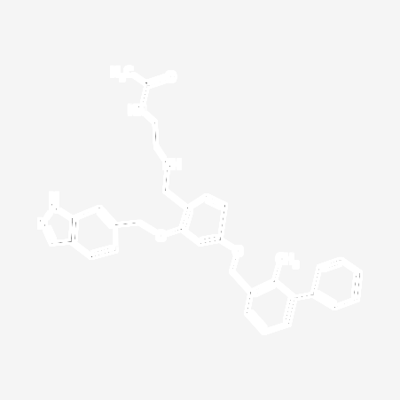 CC(=O)NCCNCc1ccc(OCc2cccc(-c3ccccc3)c2C)cc1OCc1ccc2cn[nH]c2c1